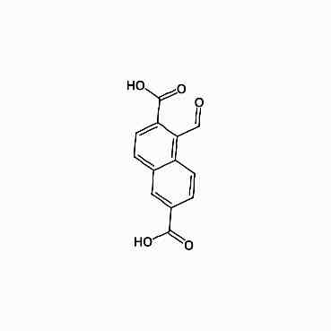 O=Cc1c(C(=O)O)ccc2cc(C(=O)O)ccc12